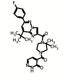 CC(C)(C)c1cc(-c2ccc(F)cc2)nn2cc(C(=O)N3CCN(C(=O)c4ccn[nH]c4=O)CC3(C)C)nc12